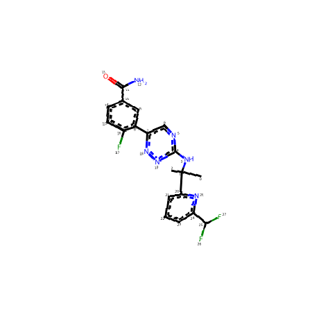 CC(C)(Nc1ncc(-c2cc(C(N)=O)ccc2F)nn1)c1cccc(C(F)F)n1